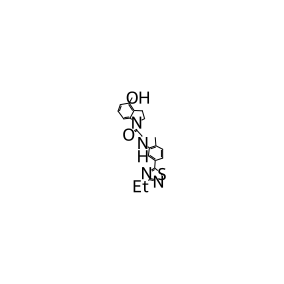 CCc1nsc(-c2ccc(C)c(NCC(=O)N3CCc4c(O)cccc43)c2)n1